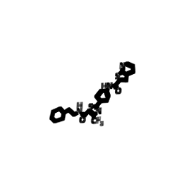 O=C(Nc1ccc(-c2nc(C(F)(F)F)c(C(=O)NCCC3CCCCC3)s2)cc1)c1cc2cccnc2s1